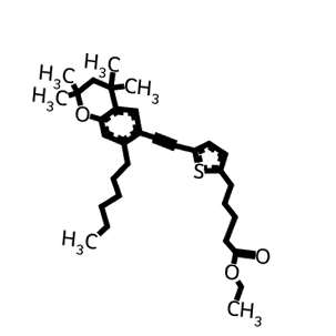 CCCCCCc1cc2c(cc1C#Cc1ccc(CCCCC(=O)OCC)s1)C(C)(C)CC(C)(C)O2